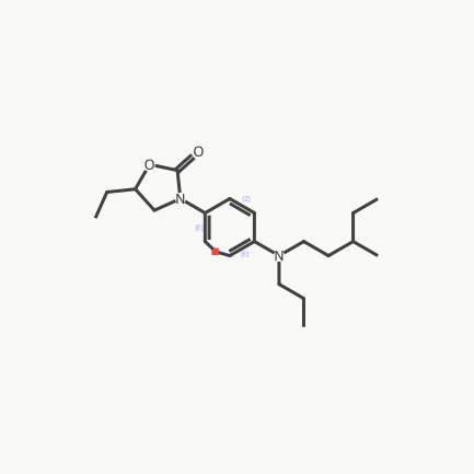 C\C=C(/C=C\C(=C/C)N1CC(CC)OC1=O)N(CCC)CCC(C)CC